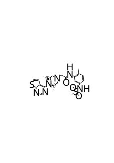 Cc1ccc(NS(C)(=O)=O)cc1NC(=O)CN1C[C@@H](C)N(c2ncnc3sccc23)[C@@H](C)C1